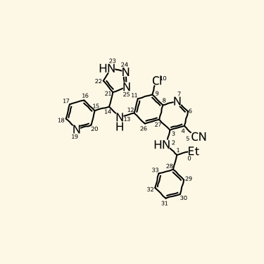 CCC(Nc1c(C#N)cnc2c(Cl)cc(NC(c3cccnc3)c3c[nH]nn3)cc12)c1ccccc1